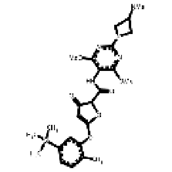 CNC1CN(c2nc(OC)c(NC(=O)C3OC(Oc4cc([Si](C)(C)C)ccc4C)=CC3=O)c(OC)n2)C1